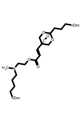 CCCCCCCCCCCCCCN(C)CCOC(=O)C=CC12COC(CCCCCCCCCCCCC)(OC1)OC2